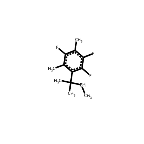 CBC(C)(C)c1c(C)c(F)c(C)c(F)c1F